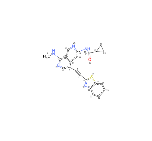 CNc1ncc(C#Cc2nc3ccccc3s2)c2cc(NC(=O)C3CC3)ncc12